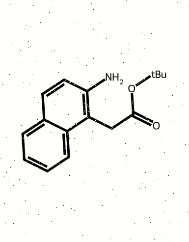 CC(C)(C)OC(=O)Cc1c(N)ccc2ccccc12